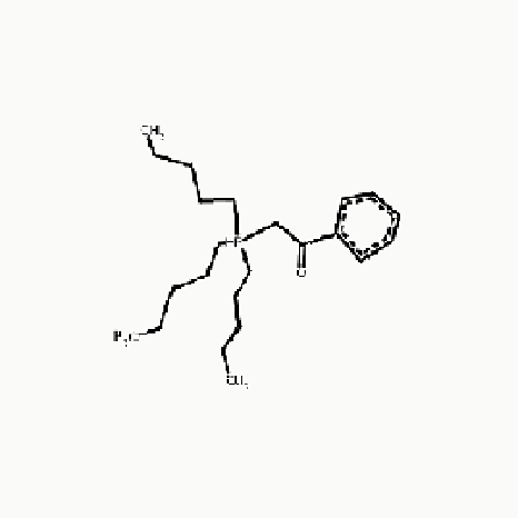 CCCCC[PH](CCCCC)(CCCCC)CC(=O)c1ccccc1